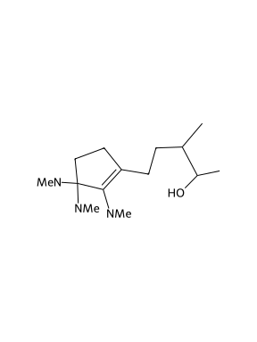 CNC1=C(CCC(C)C(C)O)CCC1(NC)NC